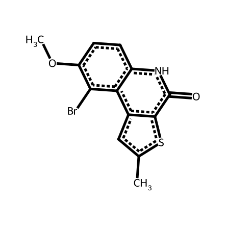 COc1ccc2[nH]c(=O)c3sc(C)cc3c2c1Br